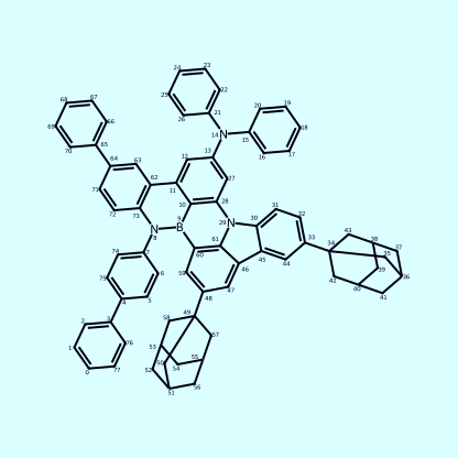 c1ccc(-c2ccc(N3B4c5c(cc(N(c6ccccc6)c6ccccc6)cc5-n5c6ccc(C78CC9CC(CC(C9)C7)C8)cc6c6cc(C78CC9CC(CC(C9)C7)C8)cc4c65)-c4cc(-c5ccccc5)ccc43)cc2)cc1